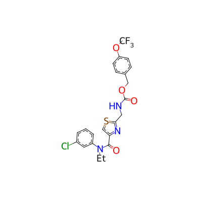 CCN(C(=O)c1csc(CNC(=O)OCc2ccc(OC(F)(F)F)cc2)n1)c1cccc(Cl)c1